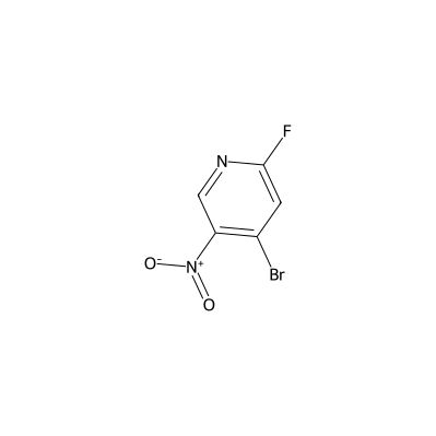 O=[N+]([O-])c1cnc(F)cc1Br